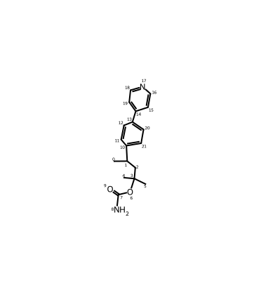 CC(CC(C)(C)OC(N)=O)c1ccc(-c2ccncc2)cc1